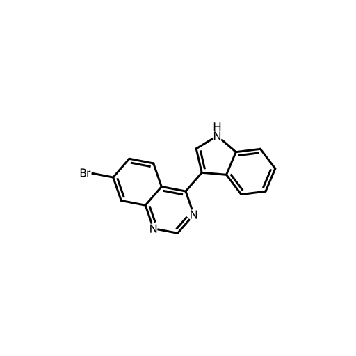 Brc1ccc2c(-c3c[nH]c4ccccc34)ncnc2c1